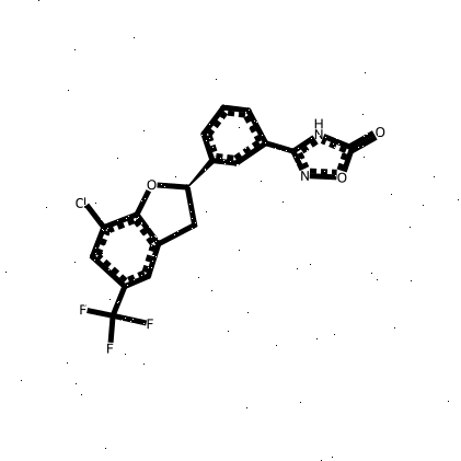 O=c1[nH]c(-c2cccc([C@H]3Cc4cc(C(F)(F)F)cc(Cl)c4O3)c2)no1